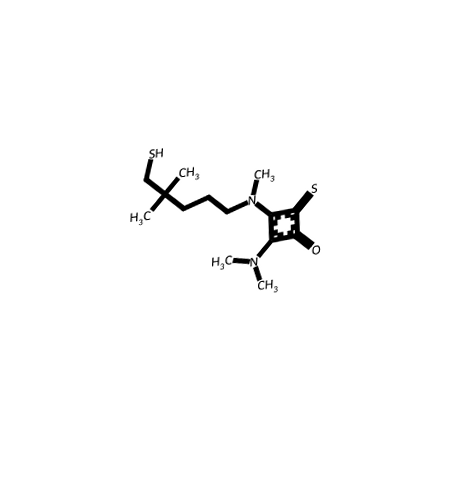 CN(C)c1c(N(C)CCCC(C)(C)CS)c(=S)c1=O